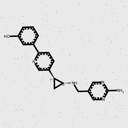 Nc1ncc(CN[C@@H]2C[C@H]2c2ccc(-c3cccc(O)c3)nc2)cn1